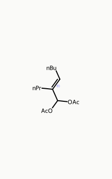 CCCC/C=C(\CCC)C(OC(C)=O)OC(C)=O